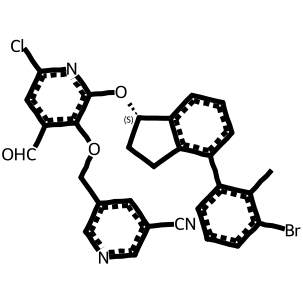 Cc1c(Br)cccc1-c1cccc2c1CC[C@@H]2Oc1nc(Cl)cc(C=O)c1OCc1cncc(C#N)c1